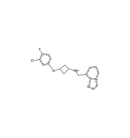 Fc1ccc(OC2CC(NCc3cccn4ccnc34)C2)cc1Cl